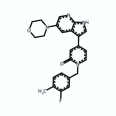 Cc1ccc(Cn2ccc(-c3c[nH]c4ncc(N5CCOCC5)cc34)cc2=O)cc1F